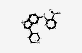 O=[N+]([O-])c1cccnc1Nc1ccc2[nH]cc(C3=CCNCC3)c2c1